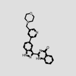 O=c1nc(-c2n[nH]c3ccc(-c4cncc(CN5CCOCC5)c4)cc23)[nH]c2ccccc12